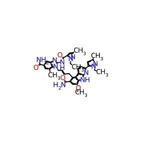 CCn1nc(C)cc1C(=O)Nc1nc2cc(C(N)=O)cc(C)c2n1CC=CCc1c(C(N)=O)cc(OC)c2[nH]c3nc(-c4cc(C)nn4CC)ccc3c12